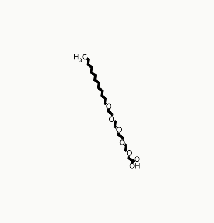 CCCCCCCCCCCCCOCCOCCOCCOCCOCC(=O)O